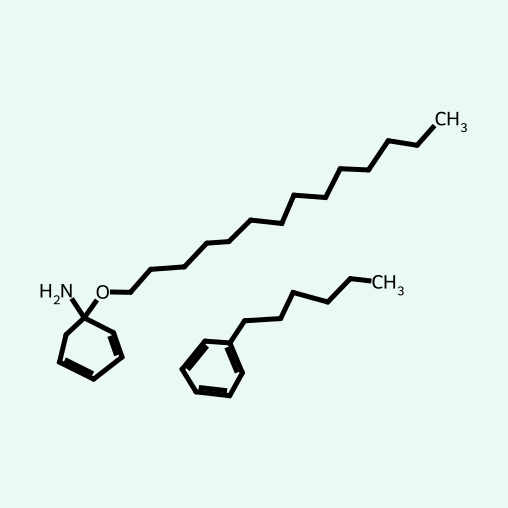 CCCCCCCCCCCCCCOC1(N)C=CC=CC1.CCCCCCc1ccccc1